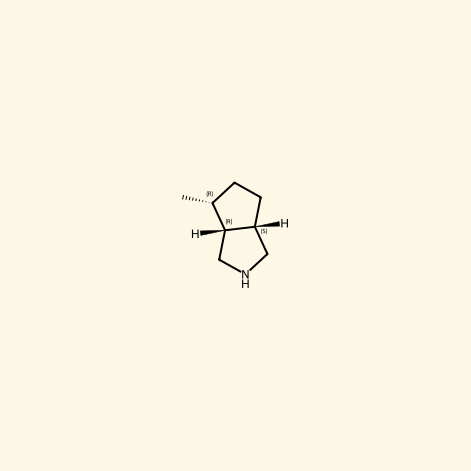 C[C@@H]1CC[C@@H]2CNC[C@@H]21